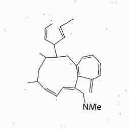 C=C1C=CC=CC2=C1/C(CNC)=C/C=C\C(C)CC(C)C(C(C=CC)/C=C\C)C2